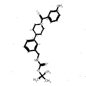 CC(C)(C)OC(=O)NCc1cccc(C2CCN(C(=O)c3cccc(N)c3)CC2)c1